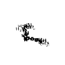 CC(C)(C)NC(=O)C1(C)CCN(c2ccc(-c3cc(-c4ccc(N5CCN(C(=O)OC(C)(C)C)CC5)cc4)cn4ncc(C#N)c34)cn2)CC1